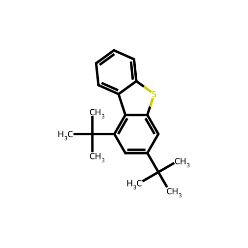 CC(C)(C)c1cc(C(C)(C)C)c2c(c1)sc1ccccc12